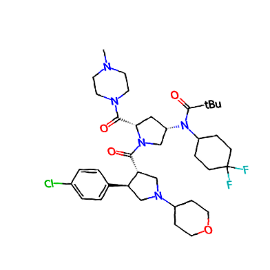 CN1CCN(C(=O)[C@@H]2C[C@H](N(C(=O)C(C)(C)C)C3CCC(F)(F)CC3)CN2C(=O)[C@@H]2CN(C3CCOCC3)C[C@H]2c2ccc(Cl)cc2)CC1